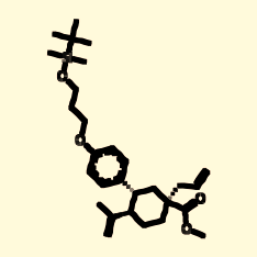 C=CC[C@]1(C(=O)OC)CC[C@@H](C(=C)C)[C@H](c2ccc(OCCCO[Si](C)(C)C(C)(C)C)cc2)C1